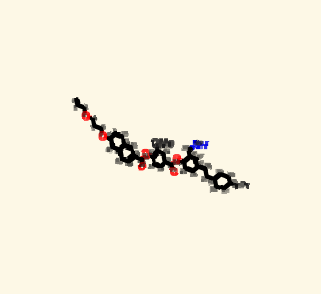 C=CCOCCCOc1ccc2cc(C(=O)Oc3ccc(C(=O)Oc4ccc(CCC5CCC(CCC)CC5)cc4C=N)cc3OC)ccc2c1